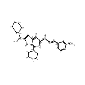 Cc1cccc(/C=N/Nc2nc(N3CCOCC3)c3oc(C(=O)N4CCCCC4)cc3n2)c1